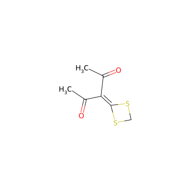 CC(=O)C(C(C)=O)=C1SCS1